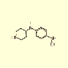 CCNc1ccc(N(C)C2CCNCC2)cc1